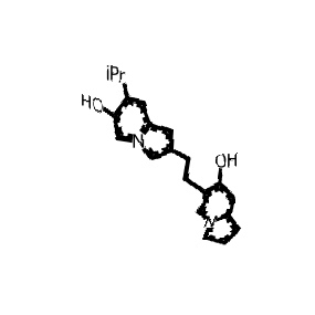 CC(C)c1cc2cc(CCc3cn4cccc4cc3O)cn2cc1O